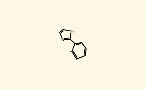 [c]1[c]c(-c2ncc[nH]2)ccc1